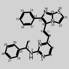 CC(Nc1nccc(/C=C/c2c(-c3ccccc3)nc3sccn23)n1)c1ccccc1